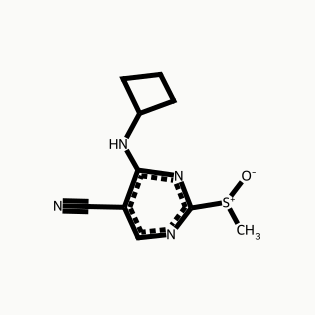 C[S+]([O-])c1ncc(C#N)c(NC2CCC2)n1